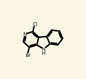 Clc1ncc(Br)c2[nH]c3ccccc3c12